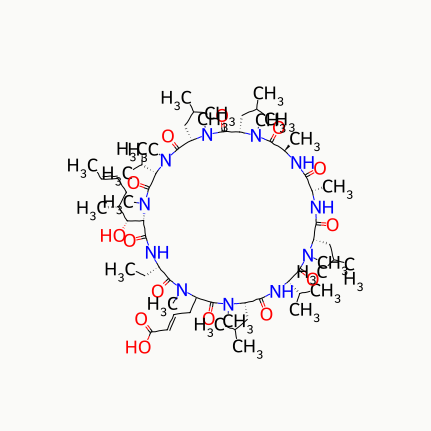 C/C=C/C[C@@H](C)[C@@H](O)[C@H]1C(=O)N[C@@H](CC)C(=O)N(C)C(C/C=C/C(=O)O)C(=O)N(C)[C@@H](CC(C)C)C(=O)N[C@@H](C(C)C)C(=O)N(C)[C@@H](CC(C)C)C(=O)N[C@@H](C)C(=O)N[C@H](C)C(=O)N(C)[C@@H](CC(C)C)C(=O)N(C)[C@@H](CC(C)C)C(=O)N(C)[C@@H](C(C)C)C(=O)N1C